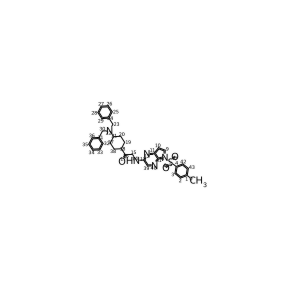 Cc1ccc(S(=O)(=O)n2ccc3nc(NCC(=O)C4CCC(N(Cc5ccccc5)Cc5ccccc5)CC4)cnc32)cc1